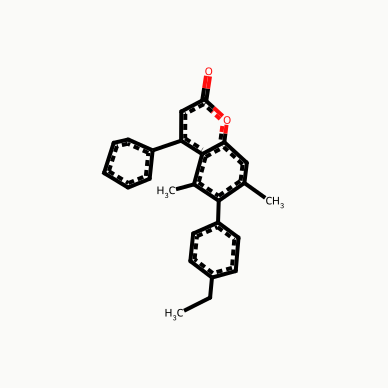 CCc1ccc(-c2c(C)cc3oc(=O)cc(-c4ccccc4)c3c2C)cc1